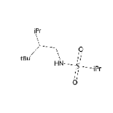 CC(C)C(CNS(=O)(=O)C(C)C)C(C)(C)C